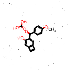 COc1ccc(C(=O)c2cc3c(cc2O)C=C3)cc1.O=C(O)O